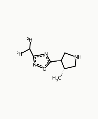 [2H]C([2H])c1noc([C@H]2CNC[C@@H]2C)n1